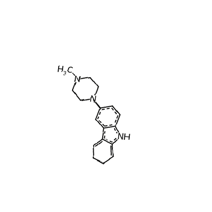 CN1CCN(c2ccc3[nH]c4c(c3c2)=CCCC=4)CC1